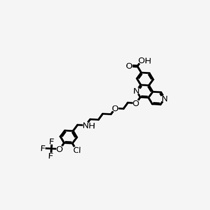 O=C(O)c1ccc2c(c1)nc(OCCOCCCCNCc1ccc(OC(F)(F)F)c(Cl)c1)c1ccncc12